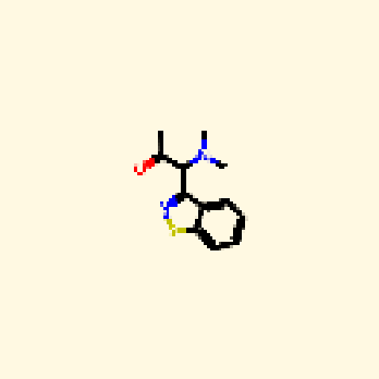 CC(=O)C(c1nsc2ccccc12)N(C)C